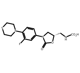 O=C(O)NC[C@H]1CN(c2ccc(N3CCSCC3)c(F)c2)C(=O)O1